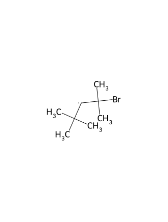 CC(C)(C)[CH]C(C)(C)Br